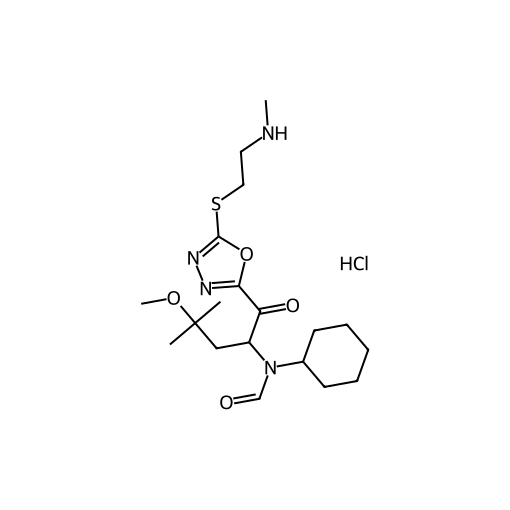 CNCCSc1nnc(C(=O)C(CC(C)(C)OC)N(C=O)C2CCCCC2)o1.Cl